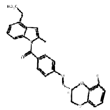 Cc1cc2c(CC(=O)O)cccc2n1C(=O)c1ccc(OC[C@H]2COc3cccc(F)c3O2)cc1